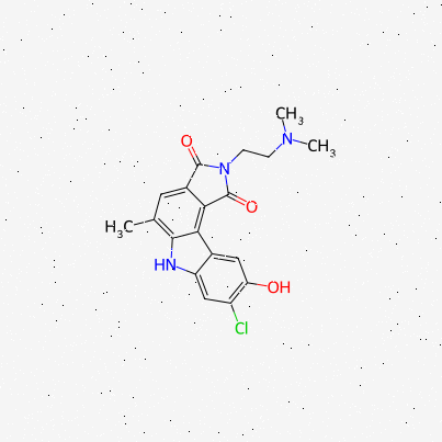 Cc1cc2c(c3c1[nH]c1cc(Cl)c(O)cc13)C(=O)N(CCN(C)C)C2=O